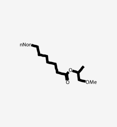 CCCCCCCCCCCCCCCC(=O)OC(C)COC